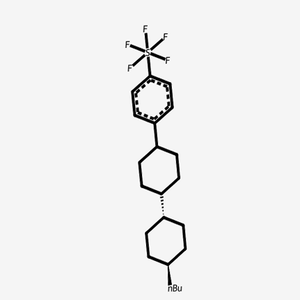 CCCC[C@H]1CC[C@H](C2CCC(c3ccc(S(F)(F)(F)(F)F)cc3)CC2)CC1